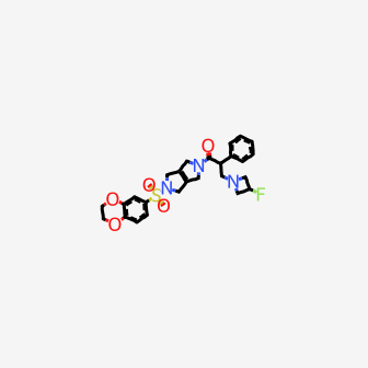 O=C(C(CN1CC(F)C1)c1ccccc1)N1CC2=C(C1)CN(S(=O)(=O)c1ccc3c(c1)OCCO3)C2